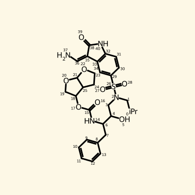 CC(C)CN(CC(O)C(Cc1ccccc1)NC(=O)OC1COC2OCCC12)S(=O)(=O)c1ccc2c(c1)C(=CN)C(=O)N2